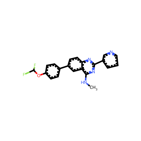 CNc1nc(-c2cccnc2)nc2ccc(-c3ccc(OC(F)F)cc3)cc12